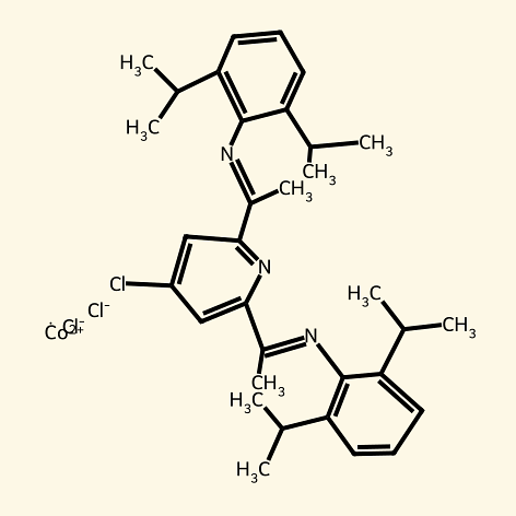 CC(=Nc1c(C(C)C)cccc1C(C)C)c1cc(Cl)cc(C(C)=Nc2c(C(C)C)cccc2C(C)C)n1.[Cl-].[Cl-].[Co+2]